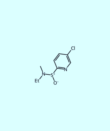 CCN(C)[S+]([O-])c1ccc(Cl)cn1